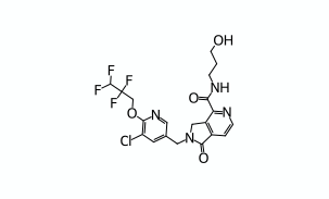 O=C(NCCCO)c1nccc2c1CN(Cc1cnc(OCC(F)(F)C(F)F)c(Cl)c1)C2=O